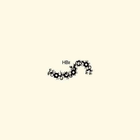 Br.CN(C(=O)c1ccc(OC(F)(F)F)cc1)c1ccc(Oc2ccc3cc(CN4CCN(Cc5ccc(OC(CF)CF)cc5)CC4)n(C)c3c2)nc1